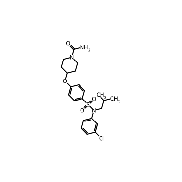 CC(C)CN(c1cccc(Cl)c1)S(=O)(=O)c1ccc(OC2CCN(C(N)=O)CC2)cc1